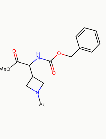 COC(=O)C(NC(=O)OCc1ccccc1)C1CN(C(C)=O)C1